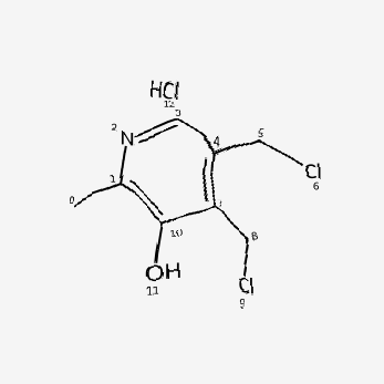 Cc1ncc(CCl)c(CCl)c1O.Cl